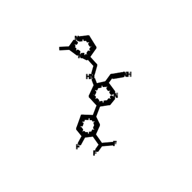 Cc1nccc(CNc2cc(-c3ccc(F)c(C(F)F)c3)cnc2C=N)n1